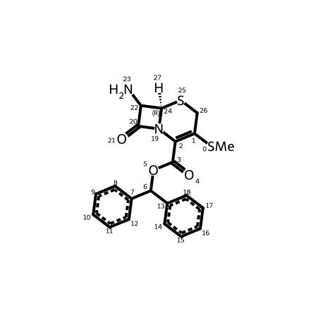 CSC1=C(C(=O)OC(c2ccccc2)c2ccccc2)N2C(=O)C(N)[C@H]2SC1